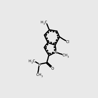 Cc1cc(Cl)c2c(c1)cc(C(=O)N(C)C)n2C